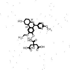 CCOc1cc2c(cc1OC)C(c1cnc(OC)nc1)=N[C@@H]1CC[C@@H](O)C[C@H]21.O=C(O)CC(O)(CC(=O)O)C(=O)O